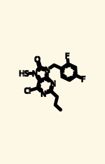 CCCc1nc(Cl)c2c(n1)n(Cc1ccc(F)cc1F)c(=O)n2S